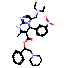 CCN(CC)Cc1cnc2n1C(c1cccc([N+](=O)[O-])c1)C(C(=O)OC(CN1CCCCC1)c1ccccc1)=C(C)N2